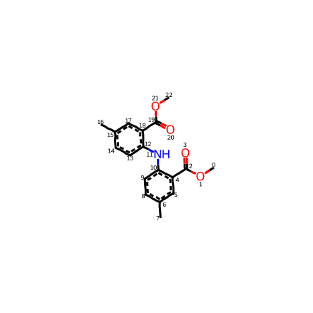 COC(=O)c1cc(C)ccc1Nc1ccc(C)cc1C(=O)OC